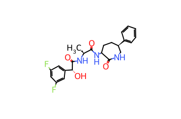 C[C@H](NC(=O)[C@H](O)c1cc(F)cc(F)c1)C(=O)N[C@H]1CC[C@@H](c2ccccc2)CNC1=O